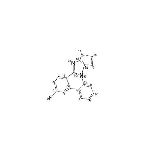 Fc1ccc2c(c1)c1ccccc1n1c3ccsc3nc21